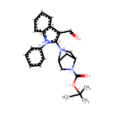 CC(C)(C)OC(=O)N1CC2CC1CN2c1c(C=O)c2ccccc2n1-c1ccccc1